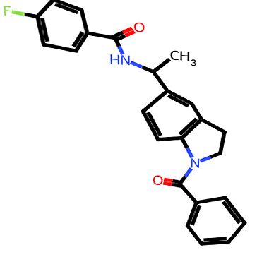 CC(NC(=O)c1ccc(F)cc1)c1ccc2c(c1)CCN2C(=O)c1ccccc1